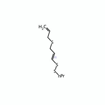 C=CCSC/C=C/SSCCC